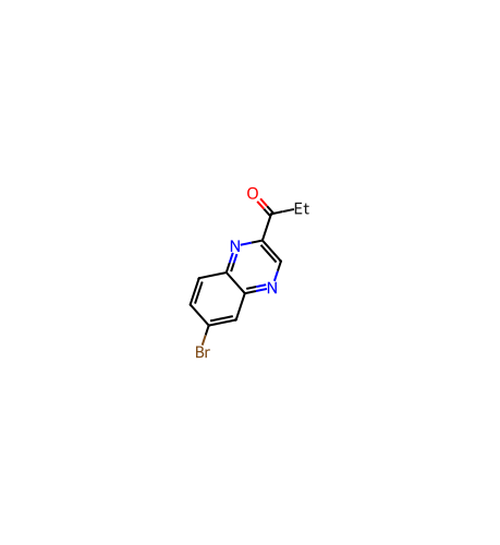 CCC(=O)c1cnc2cc(Br)ccc2n1